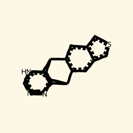 C1=NCNC2=C1C1c3cc4cscc4cc3C2c2cccnc21